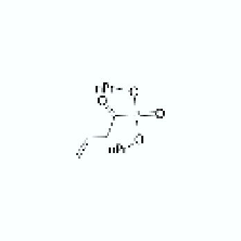 C=CCC(=O)P(=O)(OCCC)OCCC